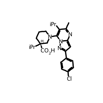 Cc1nc2cc(-c3ccc(Cl)cc3)nn2c(N2CCC[C@@](C(=O)O)(C(C)C)C2)c1C(C)C